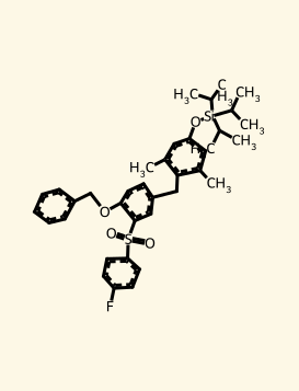 Cc1cc(O[Si](C(C)C)(C(C)C)C(C)C)cc(C)c1Cc1ccc(OCc2ccccc2)c(S(=O)(=O)c2ccc(F)cc2)c1